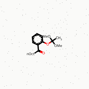 CCCCCCCCC(=O)c1ccccc1OC(C)(OC)OC